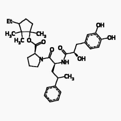 CCC1CCC(C)(OC(=O)[C@@H]2CCCN2C(=O)[C@H](CC(C)c2ccccc2)NC(=O)[C@H](O)Cc2ccc(O)c(O)c2)C1(C)C